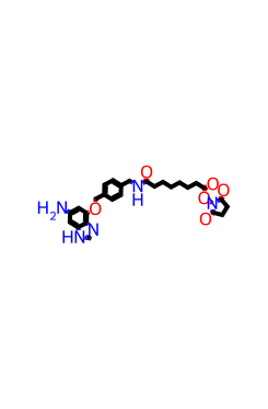 Nc1cc(OCc2ccc(CNC(=O)CCCCCCC(=O)ON3C(=O)CCC3=O)cc2)c2nc[nH]c2c1